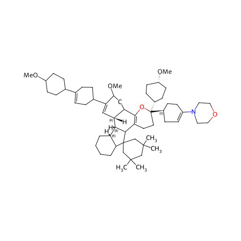 COC1CCC(C2=CCC(C3=C[C@@H]4C(CC3OC)C3=C(CCC([C@@H]5CC=C(N6CCOCC6)CC5)([C@H]5CC[C@@H](OC)CC5)O3)C3[C@@H]4[C@H]4CCCCC4C34CC(C)(C)CC(C)(C)C4)CC2)CC1